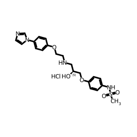 CS(=O)(=O)Nc1ccc(OC[C@@H](O)CNCCOc2ccc(-n3ccnc3)cc2)cc1.Cl